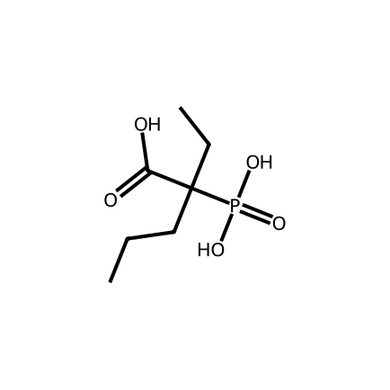 CCCC(CC)(C(=O)O)P(=O)(O)O